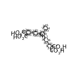 O=C(O)c1ccc(-c2ccc(-c3cc(-c4ccccc4)cc(-c4ccc(-c5ccc(C(=O)O)c(C(=O)O)c5)cc4)n3)cc2)cc1C(=O)O